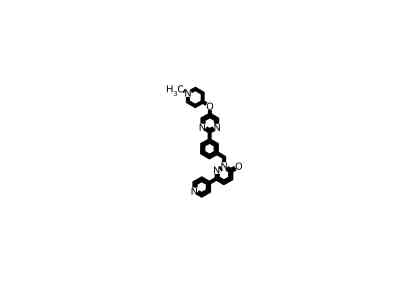 CN1CCC(Oc2cnc(-c3cccc(Cn4nc(-c5ccncc5)ccc4=O)c3)nc2)CC1